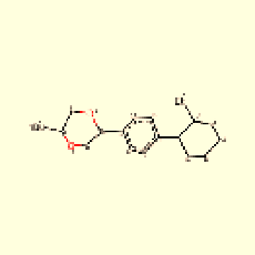 CCCCC1COC(c2ccc(C3CCCCC3CC)cc2)CO1